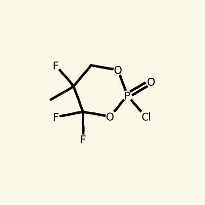 CC1(F)COP(=O)(Cl)OC1(F)F